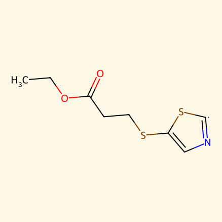 CCOC(=O)CCSc1cn[c]s1